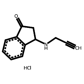 C#CCNC1CC(=O)c2ccccc21.Cl